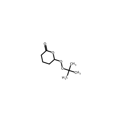 CC(C)(C)OOC1CCCC(=O)O1